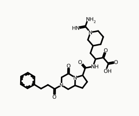 N=C(N)N1CCCC(CC(NC(=O)C2CCC3CN(C(=O)CCc4ccccc4)CC(=O)N32)C(=O)C(=O)O)C1